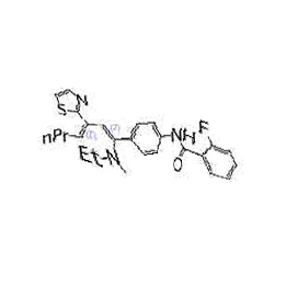 CCC/C=C(/C=C(/c1ccc(NC(=O)c2ccccc2F)cc1)N(C)CC)c1nccs1